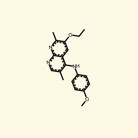 CCOc1cc2c(Nc3ccc(OC)cc3)c(C)cnc2nc1C